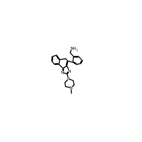 CN1CCN(C2=NC3=C(c4ccccc4CN)Cc4ccccc4C3=N2)CC1